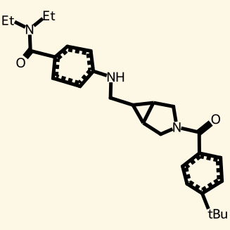 CCN(CC)C(=O)c1ccc(NCC2C3CN(C(=O)c4ccc(C(C)(C)C)cc4)CC23)cc1